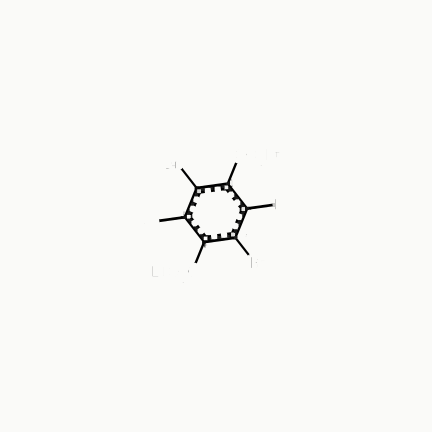 CCOC(=O)c1c(F)c(Br)c(C(=O)OCC)c(F)c1Br